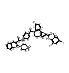 O=C(Nc1c(F)cc(F)cc1Cl)c1cc2c(s1)-c1ccc(F)cc1N(C(=O)c1ccc(NC(=O)c3cc4ccccc4nc3N3CCS(=O)(=O)CC3)cc1)CC2